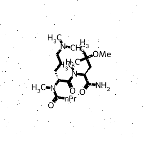 CCCC(=O)N(C)[C@H](CCCN(C)C)C(=O)N(C)[C@@H](CC(C)(C)OC)C(N)=O